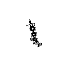 C=CCNc1ccc(-c2ccc(N3CC(CNC(C)=O)OC3=O)cc2)ccc1=O